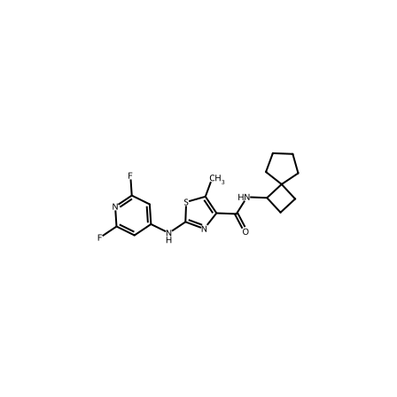 Cc1sc(Nc2cc(F)nc(F)c2)nc1C(=O)NC1CCC12CCCC2